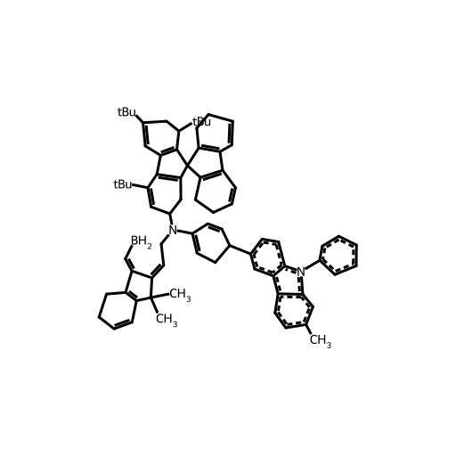 B/C=C1/C2=C(C=CCC2)C(C)(C)/C1=C/CN(C1=CCC(c2ccc3c(c2)c2ccc(C)cc2n3-c2ccccc2)C=C1)C1C=C(C(C)(C)C)C2=C(C1)C1(C3=C(C=CCC3)C3=C1CCC=C3)C1=C2C=C(C(C)(C)C)CC1C(C)(C)C